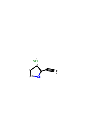 C#CC1CCCN1.Cl